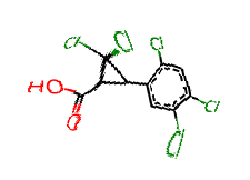 O=C(O)C1C(c2cc(Cl)c(Cl)cc2Cl)C1(Cl)Cl